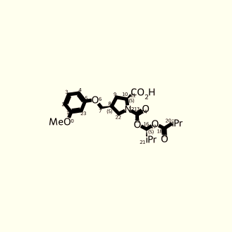 COc1cccc(OC[C@H]2C[C@@H](C(=O)O)N(C(=O)O[C@H](OC(=O)C(C)C)C(C)C)C2)c1